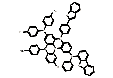 CC(C)(C)c1ccc(N(c2ccc(C(C)(C)C)cc2)c2cc3c4c(c2)N(c2ccc(C(C)(C)C)cc2)c2ccc(C(C)(C)C)cc2B4c2cc(N(c4ccccc4)c4cccc5c4oc4ccccc45)ccc2N3c2ccc(-c3cc4ccccc4o3)cc2)cc1